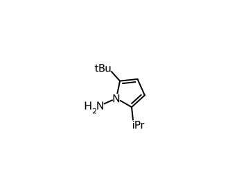 CC(C)c1ccc(C(C)(C)C)n1N